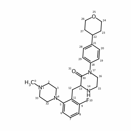 CN1CCN(c2cccc(F)c2CC2NCCN(c3ccc(C4CCOCC4)cc3)C2=O)CC1